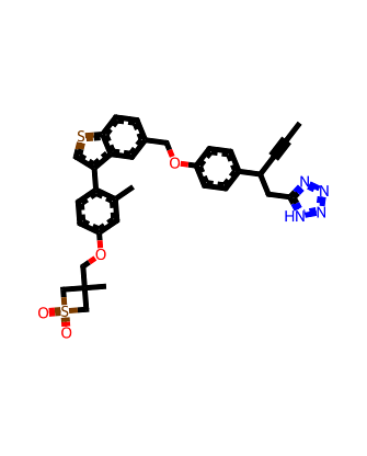 CC#CC(Cc1nnn[nH]1)c1ccc(OCc2ccc3scc(-c4ccc(OCC5(C)CS(=O)(=O)C5)cc4C)c3c2)cc1